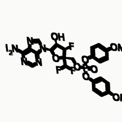 COc1ccc(OP(=O)(OC[C@@]2(C(F)F)O[C@@H](n3cnc4c(N)ncnc43)[C@H](O)[C@H]2F)Oc2ccc(OC)cc2)cc1